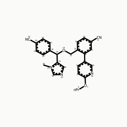 CCCOc1ccc(-c2cc(C#N)ccc2COC(c2ccc(C#N)cc2)c2cncn2C)cn1